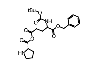 CC(C)(C)OC(=O)NC(CCC(=O)OC(=O)[C@@H]1CCCN1)C(=O)OCc1ccccc1